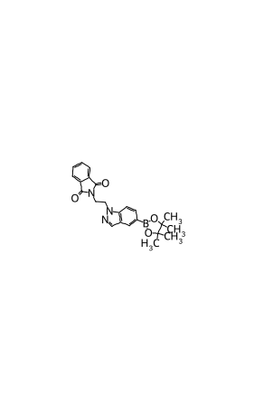 CC1(C)OB(c2ccc3c(cnn3CCN3C(=O)c4ccccc4C3=O)c2)OC1(C)C